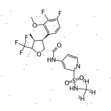 [2H]C([2H])([2H])NS(=O)(=O)c1cc(NC(=O)[C@@H]2O[C@@](C)(C(F)(F)F)[C@@H](C)[C@H]2c2ccc(F)c(F)c2OC)ccn1